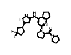 O=C(C1CCCN1c1nc2c(c(Nc3cc(C4CCC(F)(F)C4)[nH]n3)n1)CCC2)N1CCCC1